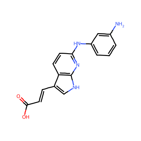 Nc1cccc(Nc2ccc3c(C=CC(=O)O)c[nH]c3n2)c1